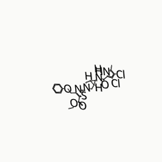 CCOC(=O)c1sc(N2C[C@@H]3[C@H](C2)[C@H]3NC(=O)c2[nH]c(C)c(Cl)c2Cl)nc1COc1ccccc1